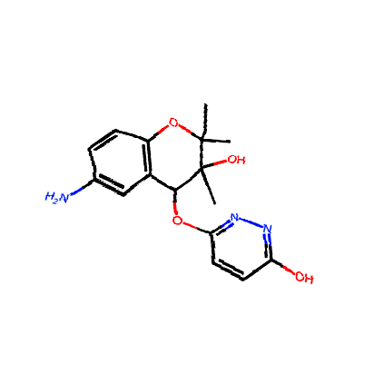 CC1(C)Oc2ccc(N)cc2C(Oc2ccc(O)nn2)C1(C)O